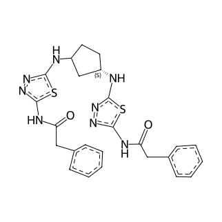 O=C(Cc1ccccc1)Nc1nnc(NC2CC[C@H](Nc3nnc(NC(=O)Cc4ccccc4)s3)C2)s1